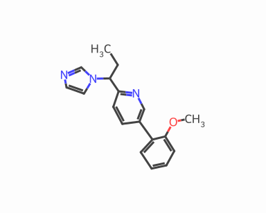 CCC(c1ccc(-c2ccccc2OC)cn1)n1ccnc1